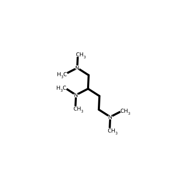 CN(C)CCC(CN(C)C)N(C)C